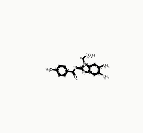 Cc1ccc(C(=O)/N=c2\sc3cc(C)c(C)cc3n2CC(=O)O)cc1